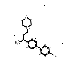 CC(CCN1CCOCC1)c1ccc(-c2ccc(F)cc2)cc1